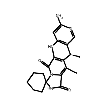 Cc1c2c(c(=O)n3c1C(=O)NC31CCCCC1)Nc1cc(N)ncc1[C@H]2C